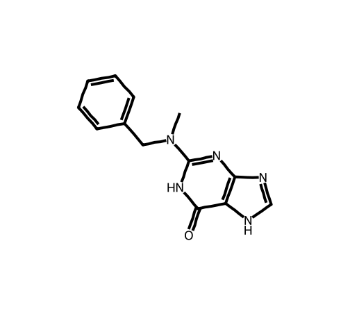 CN(Cc1ccccc1)c1nc2nc[nH]c2c(=O)[nH]1